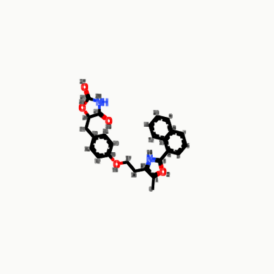 Cc1oc(-c2cccc3ccccc23)nc1CCOc1ccc(CC2OC(=O)NC2=O)cc1